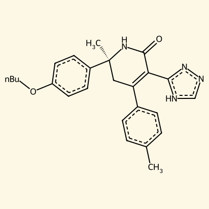 CCCCOc1ccc([C@]2(C)CC(c3ccc(C)cc3)=C(c3nnc[nH]3)C(=O)N2)cc1